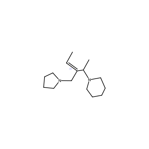 C/C=C(/CN1CCCC1)C(C)N1CCCCC1